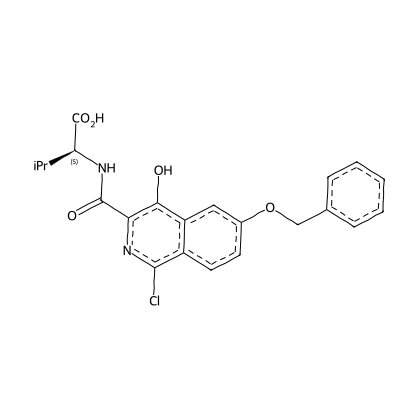 CC(C)[C@H](NC(=O)c1nc(Cl)c2ccc(OCc3ccccc3)cc2c1O)C(=O)O